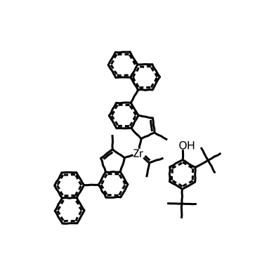 CC(C)(C)c1ccc(O)c(C(C)(C)C)c1.CC1=Cc2c(-c3cccc4ccccc34)cccc2[CH]1[Zr](=[C](C)C)[CH]1C(C)=Cc2c(-c3cccc4ccccc34)cccc21